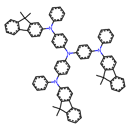 CC1(C)c2ccccc2-c2ccc(N(c3ccccc3)c3ccc(N(c4ccc(N(c5ccccc5)c5ccc6c(c5)C(C)(C)c5ccccc5-6)cc4)c4ccc(N(c5ccccc5)c5ccc6c(c5)C(C)(C)c5ccccc5-6)cc4)cc3)cc21